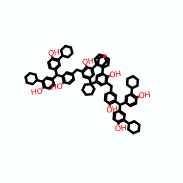 Oc1ccc(C(c2ccc(O)c(C3CCCCC3)c2)c2cc(Cc3cc(C4(c5cc(Cc6ccc(O)c(C(c7ccc(O)c(C8CCCCC8)c7)c7ccc(O)c(C8CCCCC8)c7)c6)c(O)c(C6CCCCC6)c5)CCCCC4)cc(C4CCCCC4)c3O)ccc2O)cc1C1CCCCC1